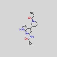 N#CCC(=O)N1CCC=C(c2cc(NC(=O)C3CC3)nc3[nH]ccc23)C1